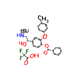 Cc1ccc(Oc2cc(C(O)CNC(C)(C)C)ccc2OC(=O)c2ccccc2)cc1.O=C(O)C(F)(F)F